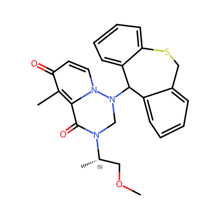 COC[C@H](C)N1CN(C2c3ccccc3CSc3ccccc32)n2ccc(=O)c(C)c2C1=O